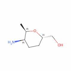 C[C@H]1O[C@H](CO)CC[C@H]1N